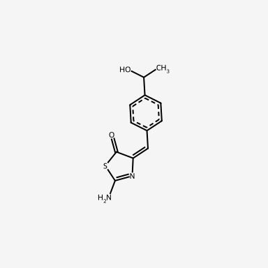 CC(O)c1ccc(/C=C2/N=C(N)SC2=O)cc1